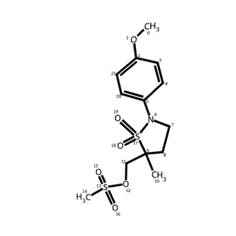 COc1ccc(N2CCC(C)(COS(C)(=O)=O)S2(=O)=O)cc1